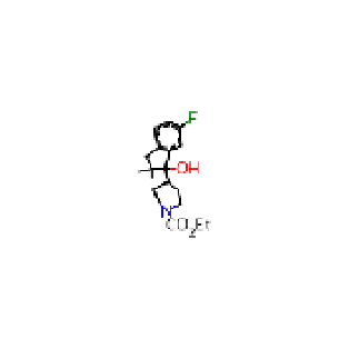 CCOC(=O)N1CCC(C2(O)c3cc(F)ccc3CC2(C)C)CC1